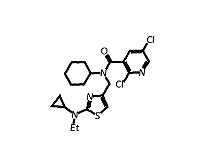 CCN(c1nc(CN(C(=O)c2cc(Cl)cnc2Cl)C2CCCCC2)cs1)C1CC1